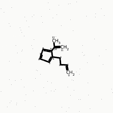 C=CCCc1ccccc1C(=C)C